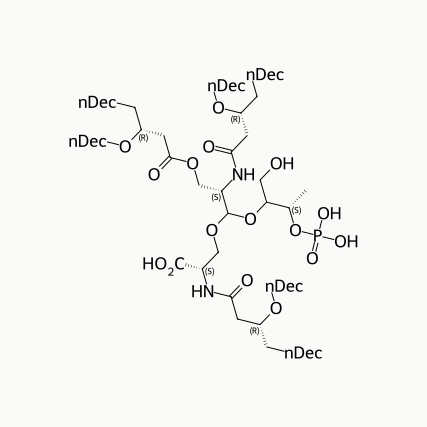 CCCCCCCCCCC[C@H](CC(=O)N[C@@H](COC(OC(CO)[C@H](C)OP(=O)(O)O)[C@H](COC(=O)C[C@@H](CCCCCCCCCCC)OCCCCCCCCCC)NC(=O)C[C@@H](CCCCCCCCCCC)OCCCCCCCCCC)C(=O)O)OCCCCCCCCCC